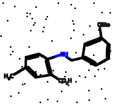 COc1cccc(CNc2ccc(C)cc2C(=O)O)c1